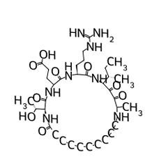 CC[C@H](C)[C@@H]1NC(=O)[C@H](CCCNC(=N)N)NC(=O)C(CCC(=O)O)NC(=O)[C@H]([C@@H](C)O)NC(=O)CCCCCCCCCNC(C)C(=O)C1=O